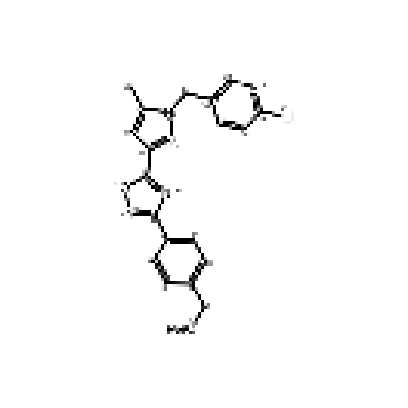 COCc1ccc(-c2noc(-c3cc(C)n(Cc4ccc(Cl)nc4)n3)n2)cc1